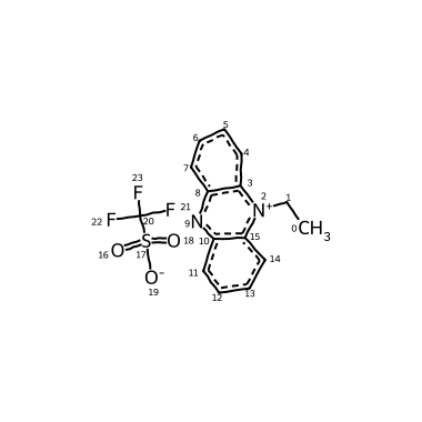 CC[n+]1c2ccccc2nc2ccccc21.O=S(=O)([O-])C(F)(F)F